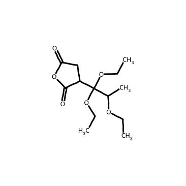 CCOC(C)C(OCC)(OCC)C1CC(=O)OC1=O